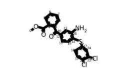 COC(=O)c1ccccc1C(=O)c1ccc(Sc2ccc(Cl)c(Cl)c2)c(N)c1